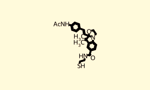 CC(=O)Nc1ccc(/C=C/C23OCCN2c2ccc(C(=O)NCCS)cc2C3(C)C)cc1